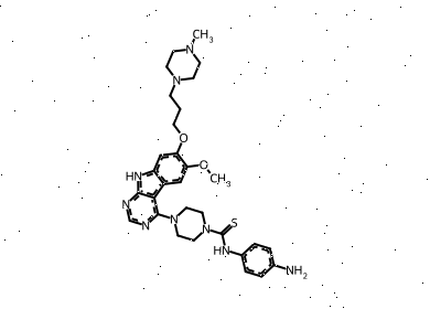 COc1cc2c(cc1OCCCN1CCN(C)CC1)[nH]c1ncnc(N3CCN(C(=S)Nc4ccc(N)cc4)CC3)c12